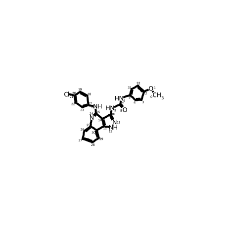 COc1ccc(NC(=O)Nc2n[nH]c3c2c(Nc2ccc(Cl)cc2)nc2ccccc23)cc1